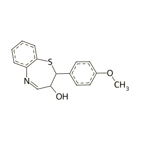 COc1ccc(C2Sc3ccccc3N=CC2O)cc1